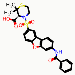 CC1(C)SCCN(S(=O)(=O)c2ccc3oc4cc(NC(=O)c5ccccc5)ccc4c3c2)[C@H]1C(=O)O